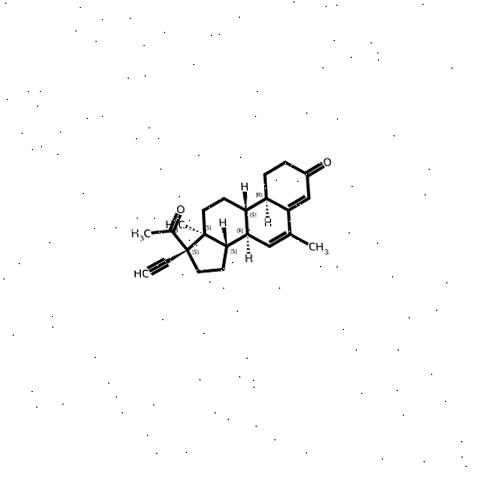 C#C[C@]1(C(C)=O)CC[C@H]2[C@@H]3C=C(C)C4=CC(=O)CC[C@@H]4[C@H]3CC[C@@]21C